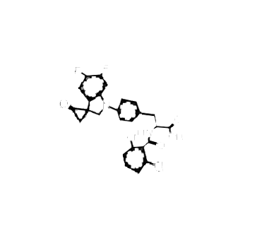 O=C(N[C@@H](Cc1ccc(N2CC3(CC3=O)c3cc(F)c(F)cc32)cc1)C(=O)O)c1c(Cl)cccc1Cl